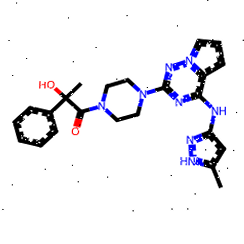 Cc1cc(Nc2nc(N3CCN(C(=O)C(C)(O)c4ccccc4)CC3)nn3cccc23)n[nH]1